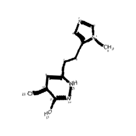 Cn1cncc1CCc1cc(=O)c(O)n[nH]1